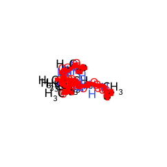 CCCOP(OC[C@H]1O[C@@H](n2cnc3c(=O)[nH]c(NC(=O)CCCN(C)C(=O)OCC4c5ccccc5-c5ccccc54)nc32)CC1OP(OCCC)N(C(C)C)C(C)C)OC1C[C@H](n2cnc3c(NC(=O)c4ccc(CNC(=O)COC(=O)CCCN(C)C(=O)OCC5c6ccccc6-c6ccccc65)cc4)ncnc32)O[C@@H]1COC(c1ccccc1)(c1ccc(OC)cc1)c1ccc(OC)cc1